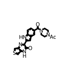 CC(=O)N1CCN(C(=O)c2ccc3[nH]c(-c4nc5cscc5[nH]c4=O)cc3c2)CC1